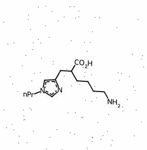 CCCn1cnc(CC(CCCCN)C(=O)O)c1